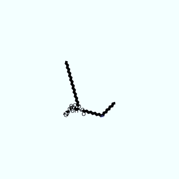 CCCCCCCC/C=C\CCCCCCCC(=O)OC[C@H](COP(=O)(O)OCC[N+](C)(C)C)OC(=O)CCCCCCCCCCCCCCCCCCCCC